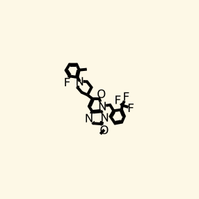 COc1cnc2cc(C3CCN(c4c(C)cccc4F)CC3)c(=O)n(Cc3ccccc3C(F)(F)F)c2n1